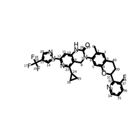 Cc1cc2c(cc1N1Cc3c(cc(-n4cc(C(F)(F)F)cn4)nc3C3CC3)NC1=O)OC(c1ncccc1F)CC2